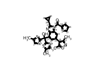 Cc1cnc(C(O)(c2ncc(C)s2)c2cc(-c3c(C)noc3C)cc3c2nc(C2CC2)n3C(=O)c2cccs2)s1